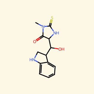 CN1C(=O)C(C(O)C2CNc3ccccc32)NC1=S